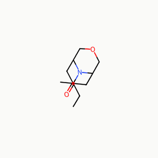 CCC(C)N1C2COCC1CC(=O)C2